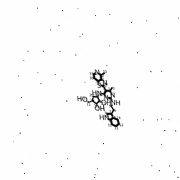 Cc1nc(NCCc2c[nH]c3ccccc23)nc(N[C@@H]2C[C@H](CO)[C@@H](O)[C@H]2O)c1-c1nc2c(C)nccc2s1